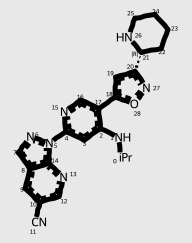 CC(C)Nc1cc(-n2ncc3cc(C#N)cnc32)ncc1-c1cc([C@H]2CCCCN2)no1